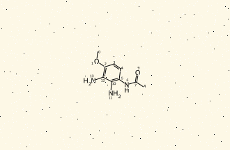 COc1ccc(NC(C)=O)c(N)c1N